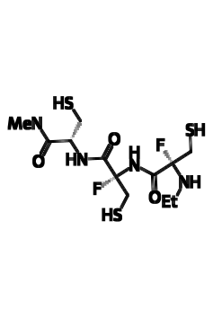 CCN[C@](F)(CS)C(=O)N[C@@](F)(CS)C(=O)N[C@@H](CS)C(=O)NC